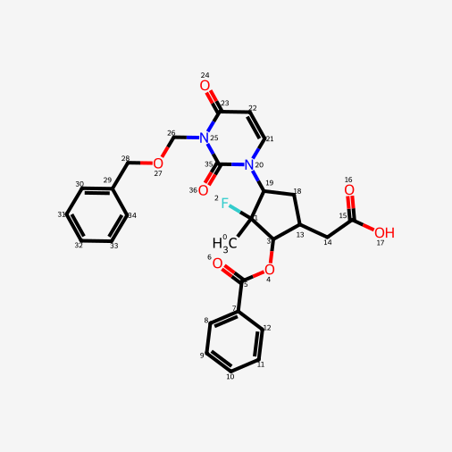 CC1(F)C(OC(=O)c2ccccc2)C(CC(=O)O)CC1n1ccc(=O)n(COCc2ccccc2)c1=O